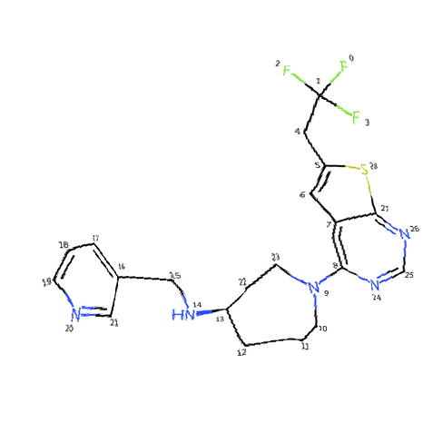 FC(F)(F)Cc1cc2c(N3CCC[C@@H](NCc4cccnc4)CC3)ncnc2s1